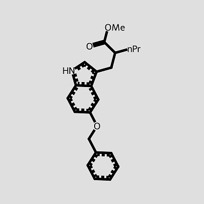 CCCC(Cc1c[nH]c2ccc(OCc3ccccc3)cc12)C(=O)OC